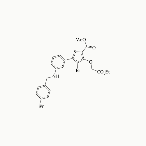 CCOC(=O)COc1c(C(=O)OC)sc(-c2cccc(NCc3ccc(C(C)C)cc3)c2)c1Br